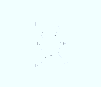 CC(C)(C)n1nc(F)c(=O)[nH]c1=O